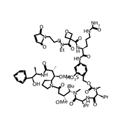 CC[C@H](C)[C@@H]([C@@H](CC(=O)N1CCC[C@H]1[C@H](OC)[C@@H](C)C(=O)N[C@H](C)[C@@H](O)c1ccccc1)OC)N(C)C(=O)[C@@H](NC(=O)[C@H](C(C)C)N(C)C(=O)OCc1ccc(NC(=O)[C@H](CCCNC(N)=O)NC(=O)C2(C(=O)N(CC)OCCN3C(=O)C=CC3=O)COC2)cc1S(=O)(=O)O)C(C)C